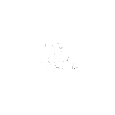 N.NCC(CC(=O)O)C(CC(=O)O)(CC(=O)O)CC(=O)O